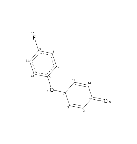 O=C1C=CC(Oc2ccc(F)cc2)C=C1